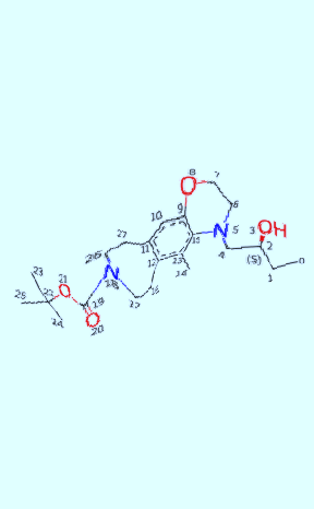 CC[C@H](O)CN1CCOc2cc3c(c(C)c21)CCN(C(=O)OC(C)(C)C)CC3